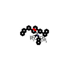 C#C/C(=C\C1=C(C)c2ccccc2C1(C)C)N(c1ccc(-c2cccc(-c3ccc4ccccc4c3)c2)cc1)c1cc(-c2cccc3ccccc23)ccc1-c1ccccc1